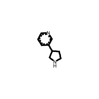 c1cncc([C]2CCNC2)c1